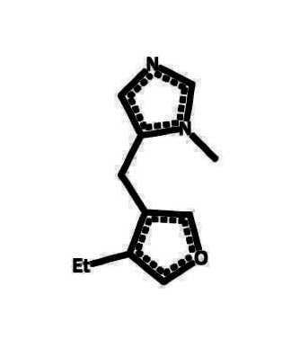 CCc1cocc1Cc1cncn1C